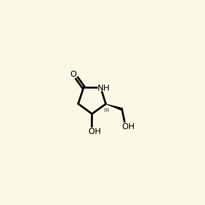 O=C1CC(O)[C@H](CO)N1